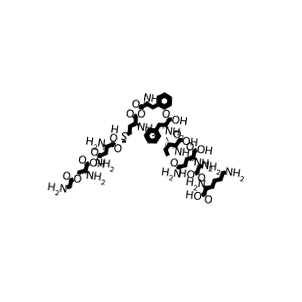 CC[C@H](C)[C@H](N)C(=O)O.CSCC[C@H](N)C(=O)OC(=O)[C@@H](N)Cc1ccccc1.NC(=O)CC[C@H](N)C(=O)O.NC(=O)C[C@H](N)C(=O)O.NCC(=O)O.NCC(=O)OC[C@H](N)C(=O)O.NCCCC[C@H](N)C(=O)O.N[C@@H](Cc1ccccc1)C(=O)O